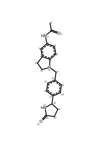 CC(=O)Nc1ccc2c(c1)CCN2Cc1ccc(C2CCC(=O)N2)cc1